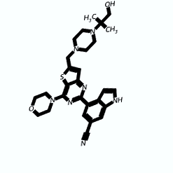 CC(C)(CO)N1CCN(Cc2cc3nc(-c4cc(C#N)cc5[nH]ccc45)nc(N4CCOCC4)c3s2)CC1